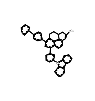 CC(C)(C)C1=Cc2ccc3c(-c4cccc(-n5c6ccccc6c6ccccc65)c4)cc(-c4ccc(-c5cccnc5)cc4)c4c3c2C(CC4)C1